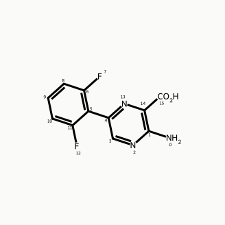 Nc1ncc(-c2c(F)cccc2F)nc1C(=O)O